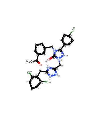 COC(=O)c1cccc(Cn2c(-c3ccc(Cl)cc3)nn(Cc3nnc(Cc4c(Cl)cccc4Cl)[nH]3)c2=O)c1